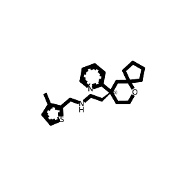 Cc1ccsc1CNCC[C@]1(c2ccccn2)CCOC2(CCCC2)C1